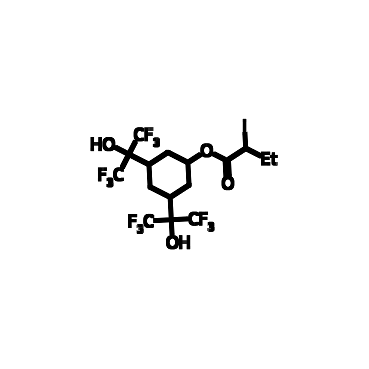 CCC(I)C(=O)OC1CC(C(O)(C(F)(F)F)C(F)(F)F)CC(C(O)(C(F)(F)F)C(F)(F)F)C1